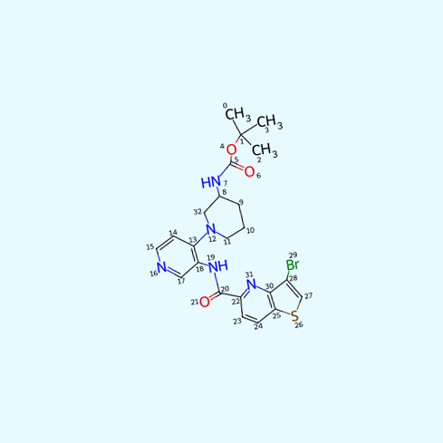 CC(C)(C)OC(=O)NC1CCCN(c2ccncc2NC(=O)c2ccc3scc(Br)c3n2)C1